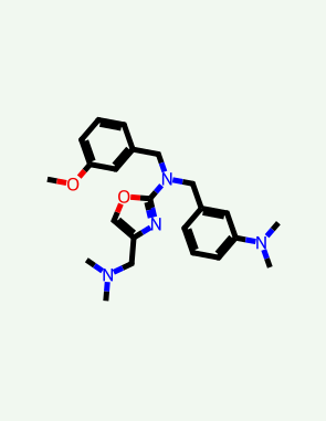 COc1cccc(CN(Cc2cccc(N(C)C)c2)c2nc(CN(C)C)co2)c1